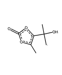 [CH2]C(C)(O)c1oc(=O)oc1C